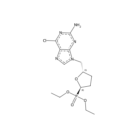 CCOP(=O)(OCC)[C@@H]1CC[C@@H](Cn2cnc3c(Cl)nc(N)nc32)O1